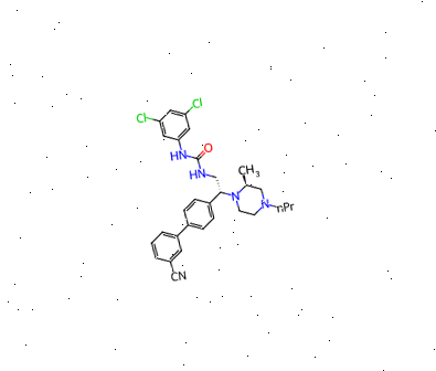 CCCN1CCN([C@@H](CNC(=O)Nc2cc(Cl)cc(Cl)c2)c2ccc(-c3cccc(C#N)c3)cc2)[C@@H](C)C1